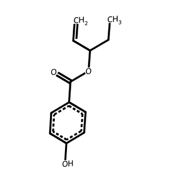 C=CC(CC)OC(=O)c1ccc(O)cc1